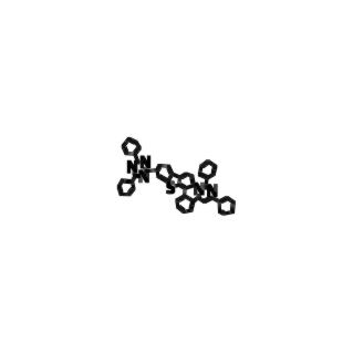 c1ccc(-c2cc(-c3ccccc3-c3cccc4c3sc3cc(-c5nc(-c6ccccc6)nc(-c6ccccc6)n5)ccc34)nc(-c3ccccc3)n2)cc1